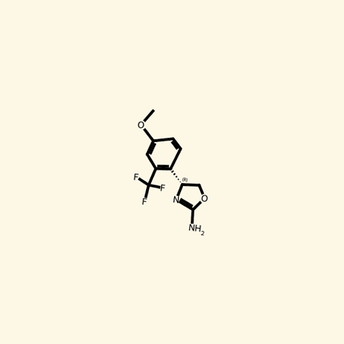 COc1ccc([C@@H]2COC(N)=N2)c(C(F)(F)F)c1